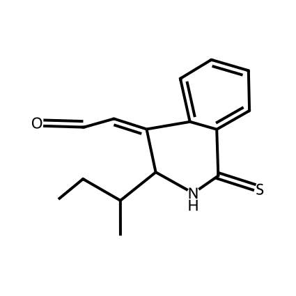 CCC(C)C1NC(=S)c2ccccc2/C1=C/C=O